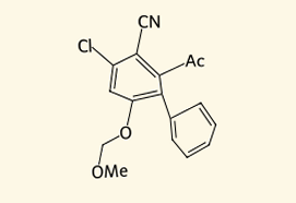 COCOc1cc(Cl)c(C#N)c(C(C)=O)c1-c1ccccc1